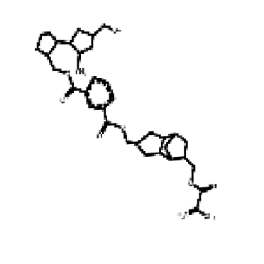 C=C(C)C(=O)OCC1CC2CC1C1CC(COC(=O)c3cccc(C(=O)OCC4CCCC4C4CC(CO)CC4C)c3)CC21